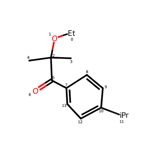 CCOC(C)(C)C(=O)c1ccc(C(C)C)cc1